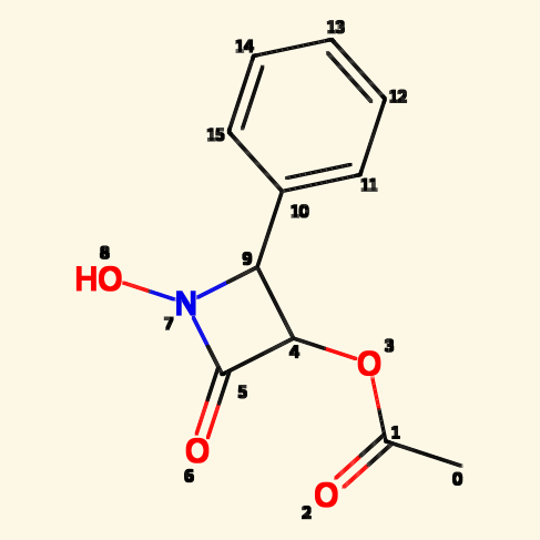 CC(=O)OC1C(=O)N(O)C1c1ccccc1